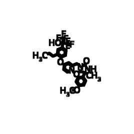 CCCc1cc(C(O)(C(F)(F)F)C(F)(F)F)ccc1Oc1ccnc(CN2C(=O)NC(C)(c3ccc(OC)cc3)C2=O)c1